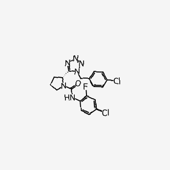 O=C(Nc1ccc(Cl)cc1F)N1CCC[C@@H]1c1nnnn1Cc1ccc(Cl)cc1